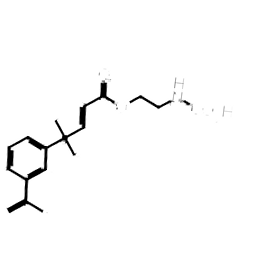 C=C(C)c1cccc(C(C)(C)C=CC(=O)OCCNC(=O)O)c1